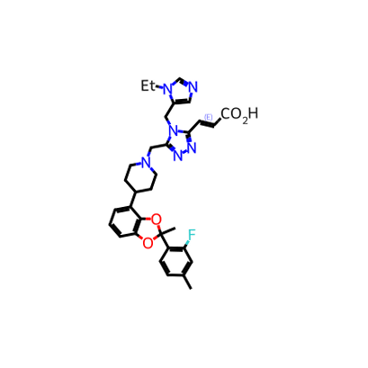 CCn1cncc1Cn1c(/C=C/C(=O)O)nnc1CN1CCC(c2cccc3c2OC(C)(c2ccc(C)cc2F)O3)CC1